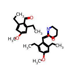 CCc1cc(OC)cc(CC)c1/C=C1\C(=O)C2CCN1CC2.CCc1cc(OC)cc(CC)c1C=O